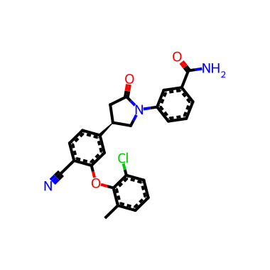 Cc1cccc(Cl)c1Oc1cc([C@H]2CC(=O)N(c3cccc(C(N)=O)c3)C2)ccc1C#N